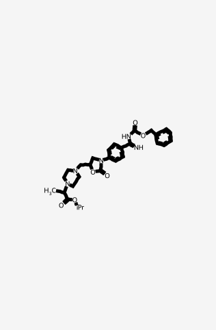 CC(C)OC(=O)C(C)N1CCN(CC2CN(c3ccc(C(=N)NC(=O)OCc4ccccc4)cc3)C(=O)O2)CC1